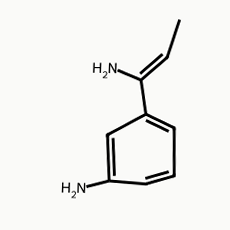 C/C=C(\N)c1cccc(N)c1